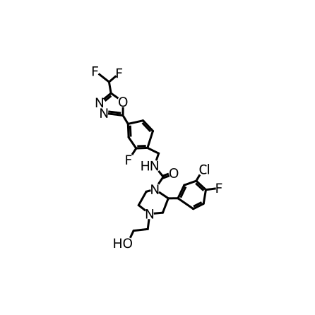 O=C(NCc1ccc(-c2nnc(C(F)F)o2)cc1F)N1CCN(CCO)CC1c1ccc(F)c(Cl)c1